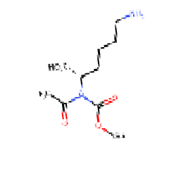 CC(C)(C)OC(=O)N(C(=O)C(F)(F)F)[C@@H](CCCCN)C(=O)O